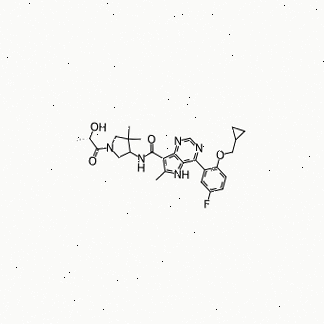 Cc1[nH]c2c(-c3cc(F)ccc3OCC3CC3)ncnc2c1C(=O)NC1CN(C(=O)[C@H](C)O)CC1(C)C